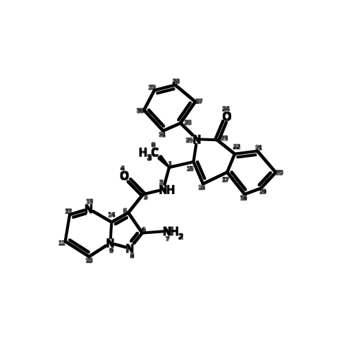 C[C@H](NC(=O)c1c(N)nn2cccnc12)c1cc2ccccc2c(=O)n1-c1ccccc1